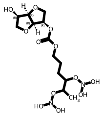 CC(ON(O)O)C(CCCOC(=O)O[C@@H]1CO[C@H]2[C@@H]1OC[C@H]2O)ON(O)O